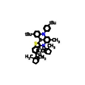 Cc1cc2c3c(c1)N(C1CC4CCC1(C)C4(C)C)c1c(sc4ccc(C5CC6CCC5(C)C6(C)C)cc14)B3c1cc(C(C)(C)C)ccc1N2c1ccc(C(C)(C)C)cc1